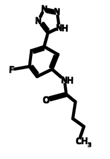 CCCCC(=O)Nc1cc(F)cc(-c2nnn[nH]2)c1